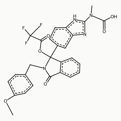 COc1ccc(CN2C(=O)c3ccccc3C2(OC(=O)C(F)(F)F)c2ccc3[nH]c(N(C)C(=O)O)nc3c2)cc1